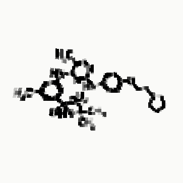 Cc1cc(Nc2nc(Nc3ccc(OCCN4CCCC4)cc3)ncc2C)cc(S(=O)(=O)NC(C)(C)C)c1